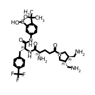 CC1(C)OB(O)c2cc(NC(=O)[C@@H](Cc3ccc(C(F)(F)F)cc3)NC(=O)[C@@H](N)CCC(=O)N3C[C@@H](CN)[C@H](CN)C3)ccc21